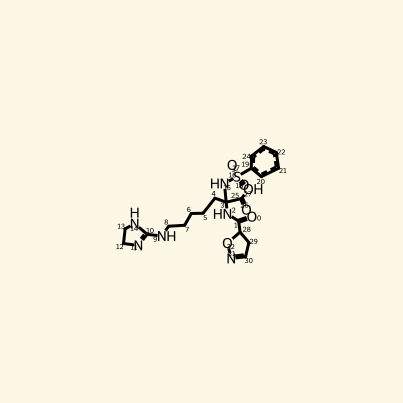 O=C(NC(CCCCCNC1=NCCN1)(NS(=O)(=O)c1ccccc1)C(=O)O)C1CC=NO1